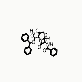 C=C1CO[C@@H]2[C@@H](NC(=O)c3ccccc3)C(=O)N2[C@H]1C(=O)OC(c1ccccc1)c1ccccc1